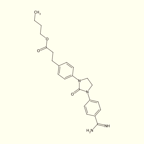 CCCCOC(=O)CCc1ccc(N2CCN(c3ccc(C(=N)N)cc3)C2=O)cc1